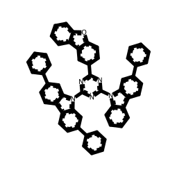 c1ccc(-c2ccc3c4ccccc4n(-c4nc(-c5ccc6oc7ccccc7c6c5)nc(-n5c6cc(-c7ccccc7)ccc6c6ccc(-c7ccccc7)cc65)n4)c3c2)cc1